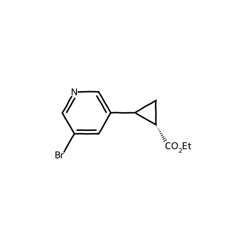 CCOC(=O)[C@H]1CC1c1cncc(Br)c1